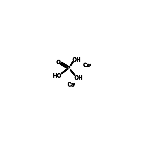 O=P(O)(O)O.[Ca].[Ca]